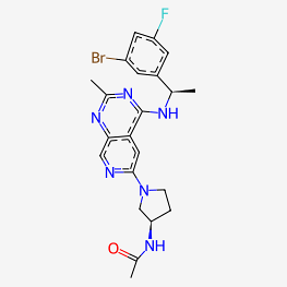 CC(=O)N[C@@H]1CCN(c2cc3c(N[C@H](C)c4cc(F)cc(Br)c4)nc(C)nc3cn2)C1